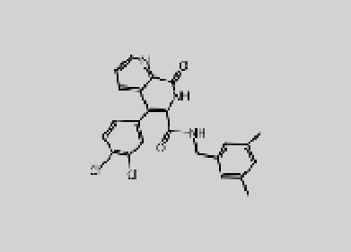 Cc1cc(C)cc(CNC(=O)c2[nH]c(=O)c3ncccc3c2-c2ccc(Cl)c(Cl)c2)c1